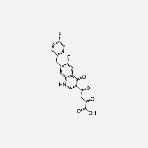 O=C(O)C(=O)CC(=O)c1c[nH]c2cc(Cc3ccc(F)cc3)c(F)cc2c1=O